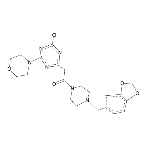 O=C(Cc1nc(Cl)nc(N2CCOCC2)n1)N1CCN(Cc2ccc3c(c2)OCO3)CC1